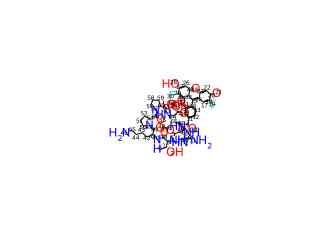 CC(O)[C@H](NC(=O)CNC(=O)c1ccc(C2=C3C=C(F)C(=O)C=C3OC3C=C(O)C(F)=CC23)c(C(=O)O)c1)C(=O)N[C@@H](CCCCN)C(=O)N1CCC[C@H]1C(=O)N1CCC[C@H]1C(=O)N[C@@H](CCCNC(=N)N)C(=O)O